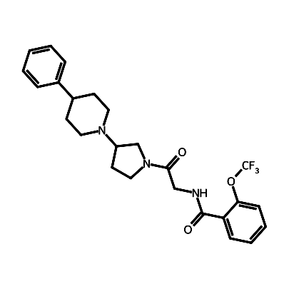 O=C(NCC(=O)N1CCC(N2CCC(c3ccccc3)CC2)C1)c1ccccc1OC(F)(F)F